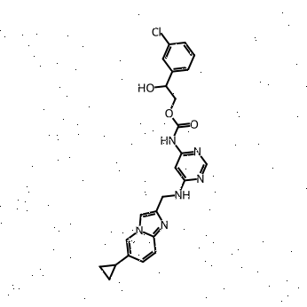 O=C(Nc1cc(NCc2cn3cc(C4CC4)ccc3n2)ncn1)OCC(O)c1cccc(Cl)c1